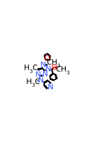 C1CC2CC1O2.COC(c1ccccc1)n1c(C)nc2c(C)nc(N(C)c3ccncc3)nc21